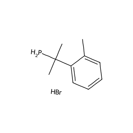 Br.Cc1ccccc1C(C)(C)P